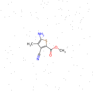 COC(=O)c1sc(N)c(C)c1C#N